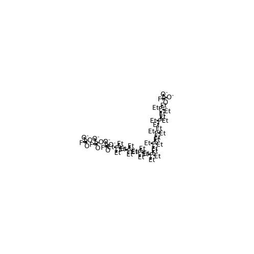 CC[P+](CC)(CC)CC.CC[P+](CC)(CC)CC.CC[P+](CC)(CC)CC.CC[P+](CC)(CC)CC.CC[P+](CC)(CC)CC.CC[P+](CC)(CC)CC.CC[P+](CC)(CC)CC.CC[P+](CC)(CC)CC.O=P([O-])([O-])F.O=P([O-])([O-])F.O=P([O-])([O-])F.O=P([O-])([O-])F